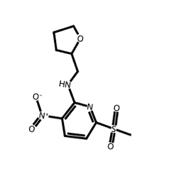 CS(=O)(=O)c1ccc([N+](=O)[O-])c(NCC2CCCO2)n1